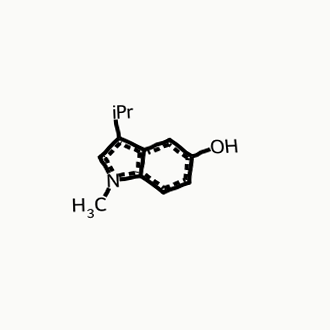 CC(C)c1cn(C)c2ccc(O)cc12